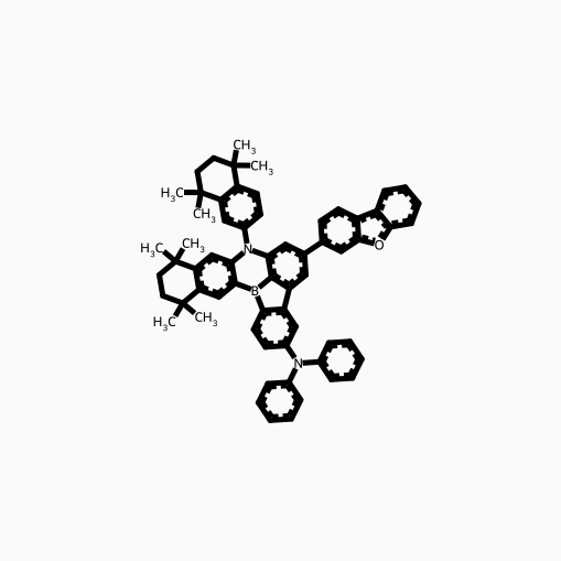 CC1(C)CCC(C)(C)c2cc(N3c4cc5c(cc4B4c6ccc(N(c7ccccc7)c7ccccc7)cc6-c6cc(-c7ccc8c(c7)oc7ccccc78)cc3c64)C(C)(C)CCC5(C)C)ccc21